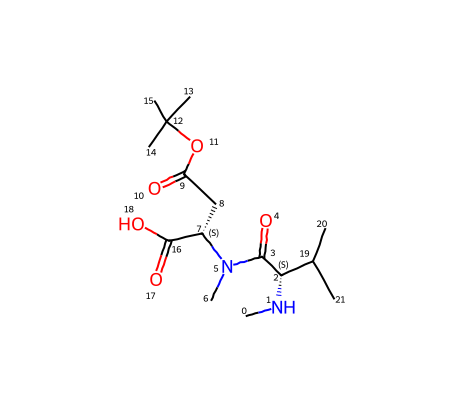 CN[C@H](C(=O)N(C)[C@@H](CC(=O)OC(C)(C)C)C(=O)O)C(C)C